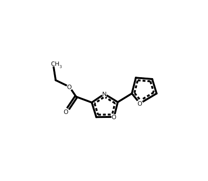 CCOC(=O)c1coc(-c2ccco2)n1